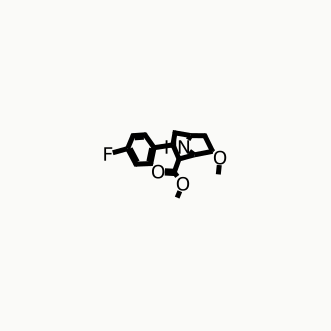 COC(=O)C1C(c2ccc(F)cc2)CC2CC(OC)C1N2